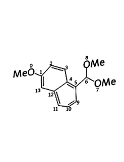 COc1ccc2c(C(OC)OC)cccc2c1